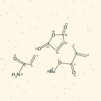 C=C(C)C(=O)OCCCC.C=CC(N)=O.O=C1C=CC(=O)O1